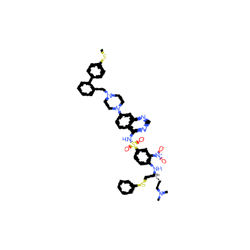 CSc1ccc(-c2ccccc2CN2CCN(c3ccc4c(NS(=O)(=O)c5ccc(N[C@H](CCN(C)C)CSc6ccccc6)c([N+](=O)[O-])c5)ncnc4c3)CC2)cc1